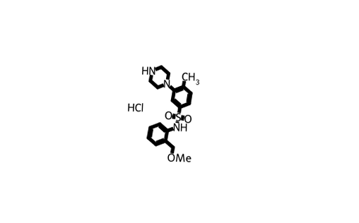 COCc1ccccc1NS(=O)(=O)c1ccc(C)c(N2CCNCC2)c1.Cl